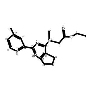 CCOC(=O)CN(C)c1nc(-c2cc(C)ccn2)nc2c1CCC2